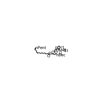 CC[CH]CCCCCCCCCC(COC(=O)CCCCCCC/C=C\C/C=C\CCCCC)OC(=O)CC(CCCCCCCC)OC(=O)NCCN(C)CC